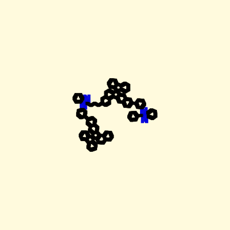 c1ccc(-c2nc3ccccc3n2-c2cccc(-c3ccc4cc5c(cc4c3)C3(c4ccccc4-c4ccccc43)c3ccc4cc(CCCc6nc7ccccc7n6-c6cccc(-c7ccc8cc9c(cc8c7)C7(c8ccccc8-c8ccccc87)c7ccc8ccccc8c7-9)c6)ccc4c3-5)c2)cc1